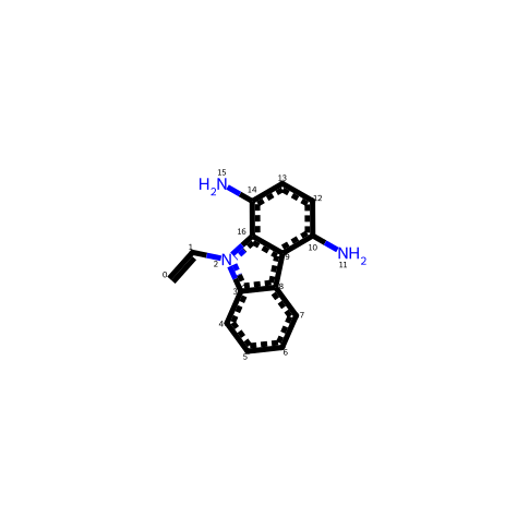 C=Cn1c2ccccc2c2c(N)ccc(N)c21